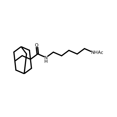 CC(=O)NCCCCCNC(=O)C12CC3CC(CC(C3)C1)C2